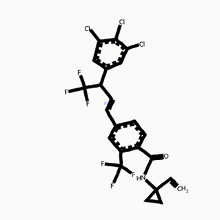 C=CC1(NC(=O)c2ccc(/C=C/C(c3cc(Cl)c(Cl)c(Cl)c3)C(F)(F)F)cc2C(F)(F)F)CC1